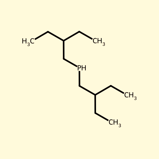 CCC(CC)CPCC(CC)CC